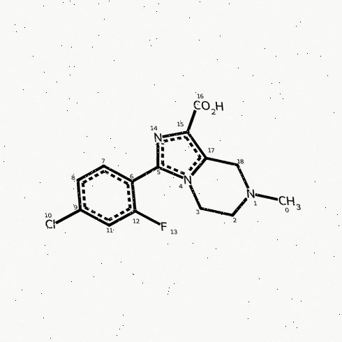 CN1CCn2c(-c3ccc(Cl)cc3F)nc(C(=O)O)c2C1